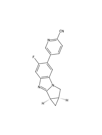 N#Cc1ccc(-c2cc3c(cc2F)nc2n3C[C@H]3C[C@@H]23)cn1